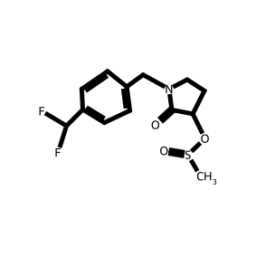 CS(=O)OC1CCN(Cc2ccc(C(F)F)cc2)C1=O